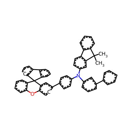 CC1(C)c2ccccc2-c2ccc(N(c3ccc(-c4ccc5c(c4)C4(c6ccccc6O5)c5ccccc5-c5ccccc54)cc3)c3cccc(-c4ccccc4)c3)cc21